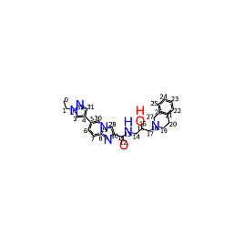 CCn1cc(-c2ccc3nc(C(=O)NCC(O)CN4CCc5ccccc5C4)cn3c2)cn1